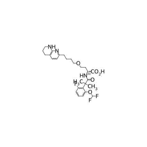 CC(C)(C(=O)N[C@@H](CCOCCCCc1ccc2c(n1)NCCC2)C(=O)O)c1c(F)cccc1OC(F)F